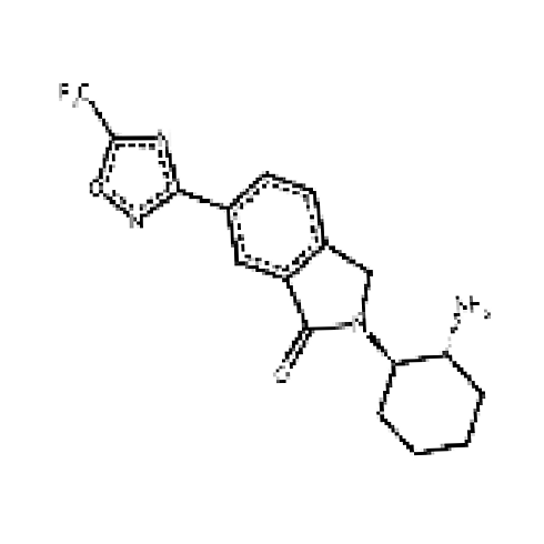 N[C@@H]1CCCC[C@H]1N1Cc2ccc(-c3noc(C(F)(F)F)n3)cc2C1=O